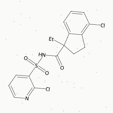 CCC1(C(=O)NS(=O)(=O)c2cccnc2Cl)CCc2c(Cl)cccc21